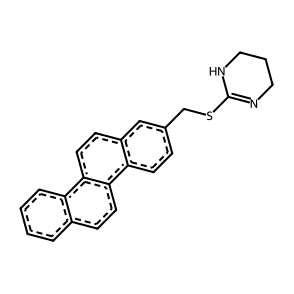 c1ccc2c(c1)ccc1c3ccc(CSC4=NCCCN4)cc3ccc21